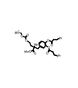 CC[C@H](C)COC(=O)OCCC(N)(Cc1ccc(OC(=O)CCC(C)C)c(OC(=O)CCC(C)C)c1)C(=O)OC